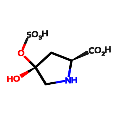 O=C(O)[C@@H]1C[C@@](O)(OS(=O)(=O)O)CN1